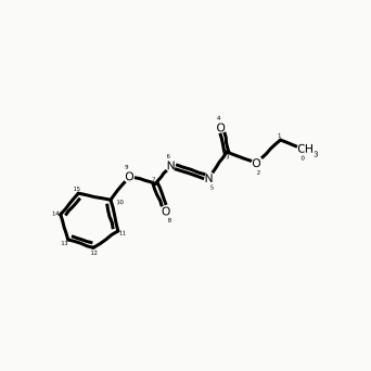 CCOC(=O)N=NC(=O)Oc1ccccc1